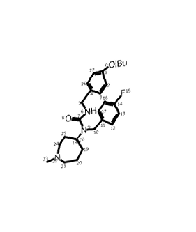 CC(C)COc1ccc(CNC(=O)N(Cc2ccc(F)cc2)[C@H]2CCCN(C)CC2)cc1